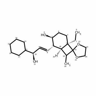 CC[C@@]12CC[C@H](O)[C@@H](/C=C/[C@@H](O)C3CCCCC3)[C@@H]1C(C)C21OCCO1